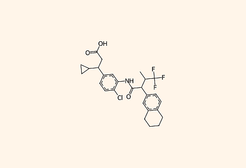 CC(C(C(=O)Nc1cc(C(CC(=O)O)C2CC2)ccc1Cl)c1ccc2c(c1)CCCC2)C(F)(F)F